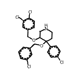 Clc1ccc(C2(OCc3cccc(Cl)c3)CCNCC2OCc2ccc(Cl)c(Cl)c2)cc1